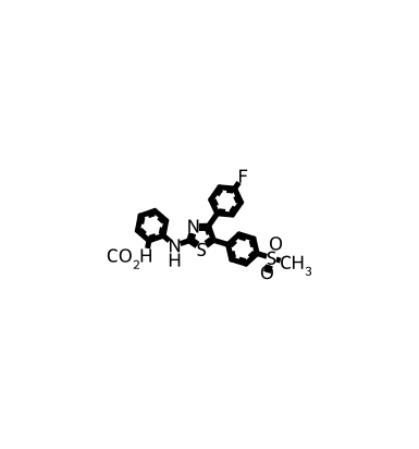 CS(=O)(=O)c1ccc(-c2sc(Nc3ccccc3C(=O)O)nc2-c2ccc(F)cc2)cc1